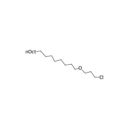 CCCCCCCCCCCCCCCCOCCCCl